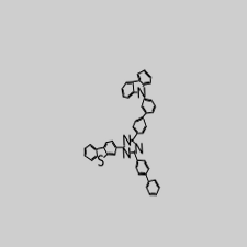 c1ccc(-c2ccc(-c3nc(-c4ccc(-c5cccc(-n6c7ccccc7c7ccccc76)c5)cc4)nc(-c4ccc5c(c4)sc4ccccc45)n3)cc2)cc1